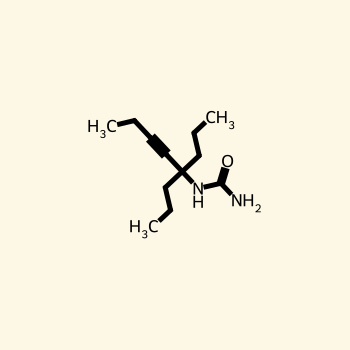 CCC#CC(CCC)(CCC)NC(N)=O